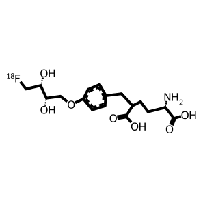 N[C@@H](CCC(Cc1ccc(OC[C@H](O)[C@@H](O)C[18F])cc1)C(=O)O)C(=O)O